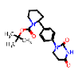 CC(C)(C)OC(=O)N1CCCCC1c1ccc(N2CCC(=O)NC2=O)cc1